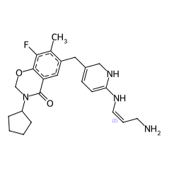 Cc1c(CC2=CC=C(N/C=C\CN)NC2)cc2c(c1F)OCN(C1CCCC1)C2=O